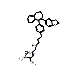 C=C(/C=C/CNCCCc1ccc(C2=C(c3ccc4scnc4c3)CCCc3ccccc32)cc1)N(C)C